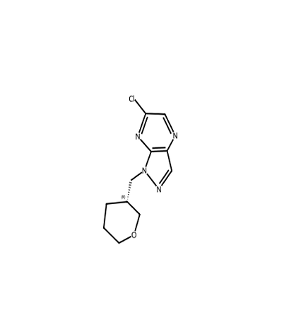 Clc1cnc2cnn(C[C@H]3CCCOC3)c2n1